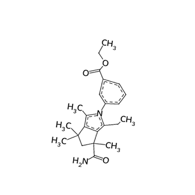 CCOC(=O)c1cccc(-n2c(C)c3c(c2CC)C(C)(C(N)=O)CC3(C)C)c1